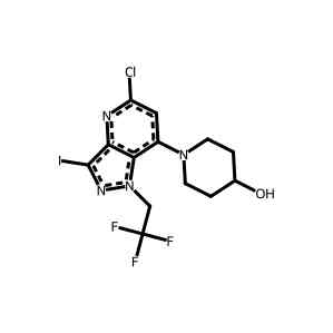 OC1CCN(c2cc(Cl)nc3c(I)nn(CC(F)(F)F)c23)CC1